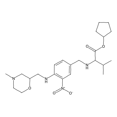 CC(C)C(NCc1ccc(NCC2CN(C)CCO2)c([N+](=O)[O-])c1)C(=O)OC1CCCC1